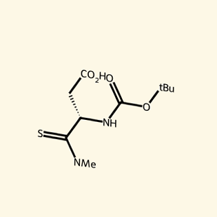 CNC(=S)[C@H](CC(=O)O)NC(=O)OC(C)(C)C